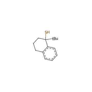 CC(C)(C)C1(S)CCCc2ccccc21